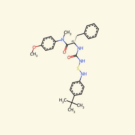 COc1ccc(N(C)C(=O)[C@H](Cc2ccccc2)NC(=O)NSNc2ccc(C(C)(C)C)cc2)cc1